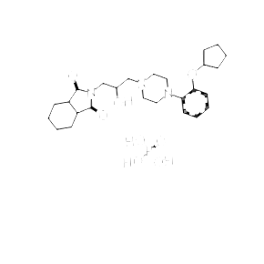 O=C1C2CCCCC2C(=O)N1CC(O)CN1CCN(c2ccccc2OC2CCCC2)CC1.O=P(O)(O)O